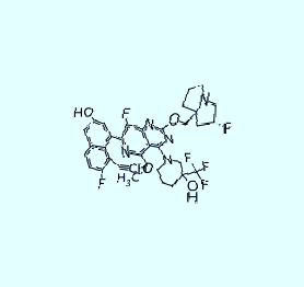 C#Cc1c(F)ccc2cc(O)cc(-c3nc(OC)c4c(N5CCCC(O)(C(F)(F)F)C5)nc(OC[C@@]56CCCN5C[C@H](F)C6)nc4c3F)c12